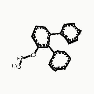 OPOc1cccc(-c2ccccc2)c1-c1ccccc1